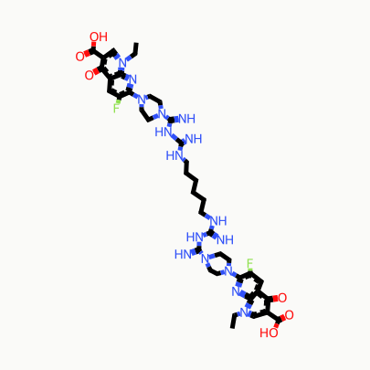 CCn1cc(C(=O)O)c(=O)c2cc(F)c(N3CCN(C(=N)NC(=N)NCCCCCCNC(=N)NC(=N)N4CCN(c5nc6c(cc5F)c(=O)c(C(=O)O)cn6CC)CC4)CC3)nc21